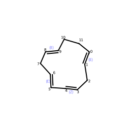 [C]1=C/C/C=C\C=C\C/C=C/CC/1